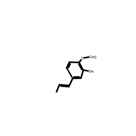 CC=Cc1ccc(OC=O)c(O)c1